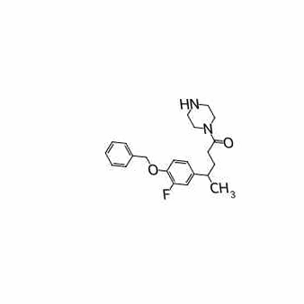 CC(CCC(=O)N1CCNCC1)c1ccc(OCc2ccccc2)c(F)c1